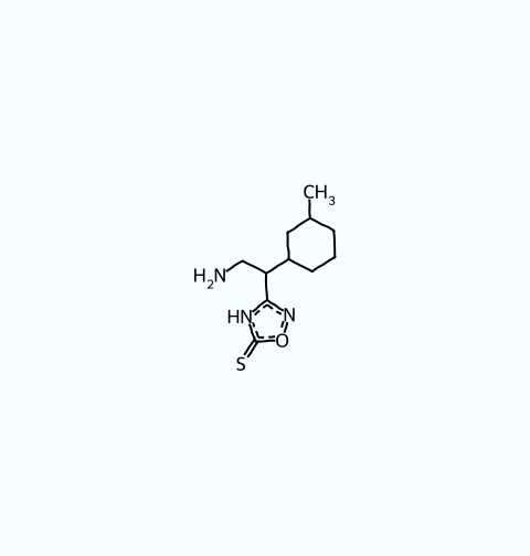 CC1CCCC(C(CN)c2noc(=S)[nH]2)C1